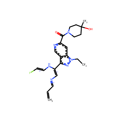 C=C/C=N/C=C(\N/C=C/F)c1nn(CC(F)(F)F)c2cc(C(=O)N3CCC(O)(C(F)(F)F)CC3)ncc12